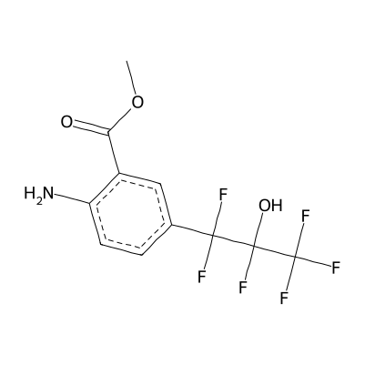 COC(=O)c1cc(C(F)(F)C(O)(F)C(F)(F)F)ccc1N